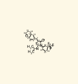 CC(C)/N=C1\S/C(=C\c2ccc3c(c2)CCCO3)C(=O)N1c1cccc(C(F)(F)F)c1